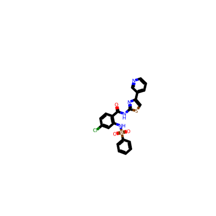 O=C(Nc1nc(-c2cccnc2)cs1)c1ccc(Cl)cc1NS(=O)(=O)c1ccccc1